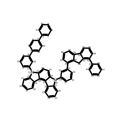 c1ccc(-c2ccc(-c3cccc(-n4c5ccccc5c5c6c7ccccc7n(-c7cccc(-c8cccc9c8Cc8c(-c%10ccccc%10)cccc8-9)c7)c6ccc54)c3)cc2)cc1